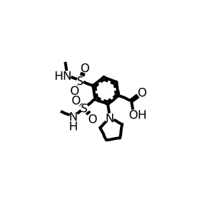 CNS(=O)(=O)c1ccc(C(=O)O)c(N2CCCC2)c1S(=O)(=O)NC